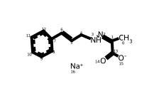 C/C(=N/NC/C=C/c1ccccc1)C(=O)[O-].[Na+]